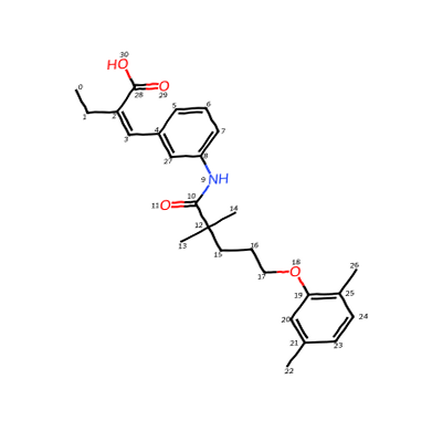 CCC(=Cc1cccc(NC(=O)C(C)(C)CCCOc2cc(C)ccc2C)c1)C(=O)O